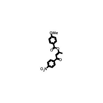 COc1ccc(C(=O)OC(C)=CC(=O)c2ccc([N+](=O)[O-])cc2)cc1